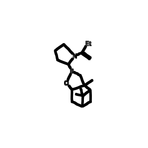 C=C(CC)N1CCCC1B1CC2(C)C(CC3CC2C3(C)C)O1